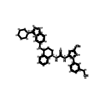 CC(C)(C)c1cc(NC(=O)N[C@H]2CCC(Oc3ccc4nnc(N5CCCCC5)n4c3)c3ccccc32)n(-c2cccc(CO)c2)n1